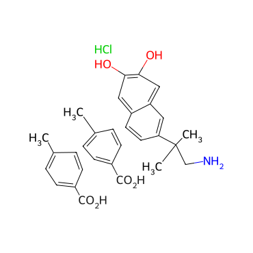 CC(C)(CN)c1ccc2cc(O)c(O)cc2c1.Cc1ccc(C(=O)O)cc1.Cc1ccc(C(=O)O)cc1.Cl